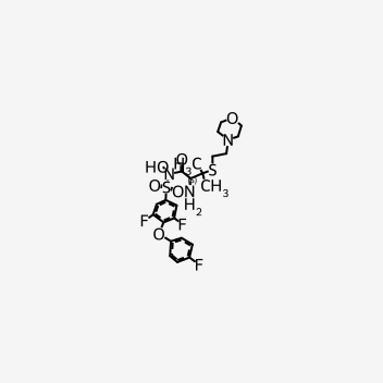 CC(C)(SCCN1CCOCC1)[C@@H](N)C(=O)N(O)S(=O)(=O)c1cc(F)c(Oc2ccc(F)cc2)c(F)c1